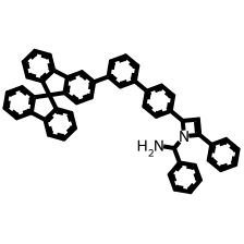 NC(c1ccccc1)N1C(c2ccccc2)=CC1c1ccc(-c2cccc(-c3ccc4c(c3)-c3ccccc3C43c4ccccc4-c4ccccc43)c2)cc1